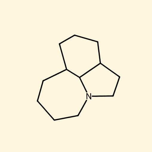 C1CCN2CCC3CCCC(C1)C32